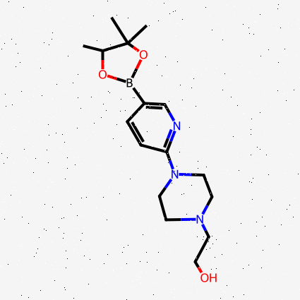 CC1OB(c2ccc(N3CCN(CCO)CC3)nc2)OC1(C)C